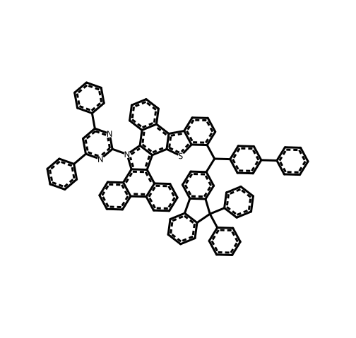 c1ccc(-c2ccc(C(c3ccc4c(c3)C(c3ccccc3)(c3ccccc3)c3ccccc3-4)c3cccc4c3sc3c4c4ccccc4c4c3c3c5ccccc5c5ccccc5c3n4-c3nc(-c4ccccc4)cc(-c4ccccc4)n3)cc2)cc1